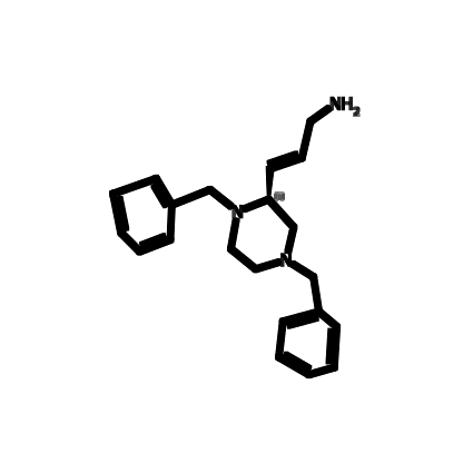 NCC=C[C@H]1CN(Cc2ccccc2)CCN1Cc1ccccc1